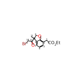 CCOC(=O)Cc1cccc2c1OCC2(C)C(=O)CBr